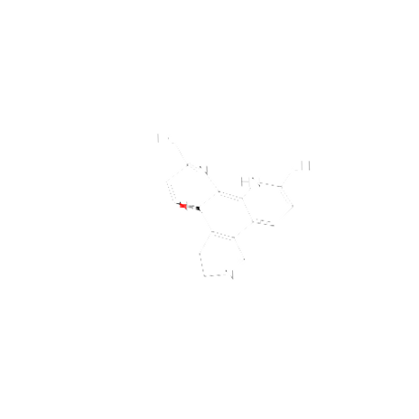 CC1=CC=C2C3=C(CCN=C3)C34CCN=CC3=CC(C)=NC4=C2N1